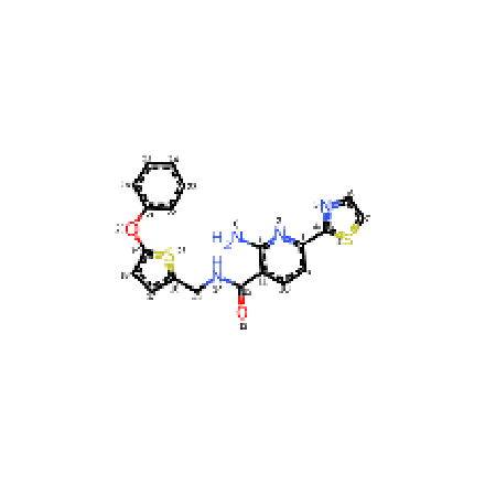 Nc1nc(-c2nccs2)ccc1C(=O)NCc1ccc(Oc2ccccc2)s1